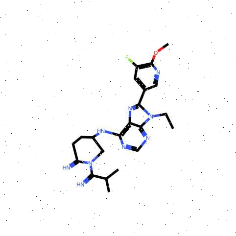 CCn1c(-c2cnc(OC)c(F)c2)nc2c(NC3CCC(=N)N(C(=N)C(C)C)C3)ncnc21